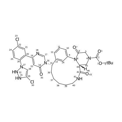 CC(C)(C)OC(=O)N1CC(=O)N2c3cccc(c3)[C@@H](n3cnc(-c4cc(Cl)ccc4N4C=C(Cl)NN4)cc3=O)CCCCCNC(=O)[C@H]2C1